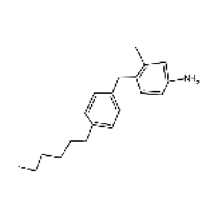 CCCCCCc1ccc(Cc2ccc(N)cc2C)cc1